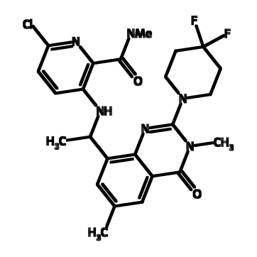 CNC(=O)c1nc(Cl)ccc1NC(C)c1cc(C)cc2c(=O)n(C)c(N3CCC(F)(F)CC3)nc12